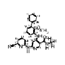 [2H]C([2H])([2H])NC(=O)c1cnc(Nc2cccc(C#N)n2)cc1Nc1cccc(-c2ccccn2)c1OC